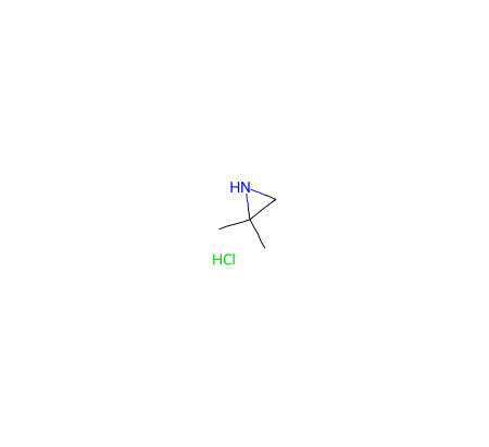 CC1(C)CN1.Cl